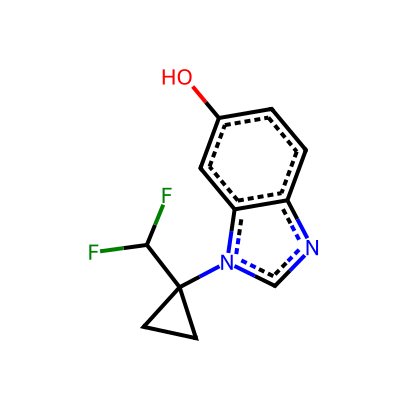 Oc1ccc2ncn(C3(C(F)F)CC3)c2c1